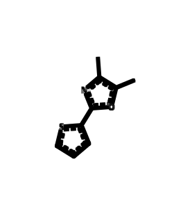 Cc1nc(-c2cccs2)oc1C